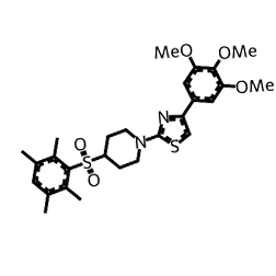 COc1cc(-c2csc(N3CCC(S(=O)(=O)c4c(C)c(C)cc(C)c4C)CC3)n2)cc(OC)c1OC